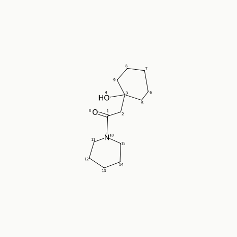 O=C(CC1(O)CCCCC1)N1CCCCC1